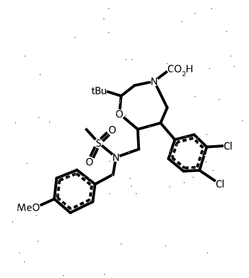 COc1ccc(CN(CC2OC(C(C)(C)C)CN(C(=O)O)CC2c2ccc(Cl)c(Cl)c2)S(C)(=O)=O)cc1